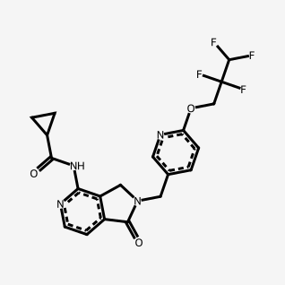 O=C(Nc1nccc2c1CN(Cc1ccc(OCC(F)(F)C(F)F)nc1)C2=O)C1CC1